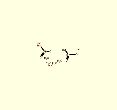 O.O.O.O.O.O=[PH]([O-])O.O=[PH]([O-])O.[Na+].[Na+]